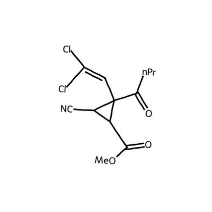 CCCC(=O)C1(C=C(Cl)Cl)C(C#N)C1C(=O)OC